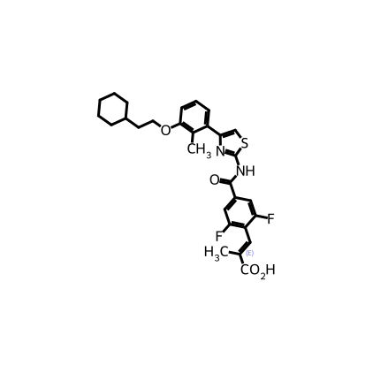 C/C(=C\c1c(F)cc(C(=O)Nc2nc(-c3cccc(OCCC4CCCCC4)c3C)cs2)cc1F)C(=O)O